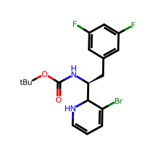 CC(C)(C)OC(=O)N[C@@H](Cc1cc(F)cc(F)c1)C1NC=CC=C1Br